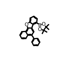 CC1(C)OB(c2cccc3oc4c5ccccc5c(-c5ccccc5)cc4c23)OC1(C)C